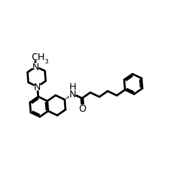 CN1CCN(c2cccc3c2C[C@H](NC(=O)CCCCc2ccccc2)CC3)CC1